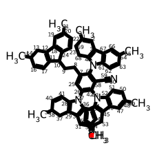 CC1=Cc2c(n(-c3c(CCC4C5=C(CC(C)C=C5)c5cc(C)ccc54)cc(-n4c5c(c6cc(C)ccc64)CC(C)C=C5)c(-n4c5c(c6cc(C)ccc64)CC(C)C=C5)c3C#N)c3ccc(C)cc23)CC1